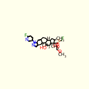 COCC(=O)O[C@]1(C(=O)SCF)[C@H](C)CC2[C@@H]3CCC4=Cc5c(cnn5-c5ccc(F)nc5)C[C@]4(C)C3[C@@H](O)C[C@@]21C